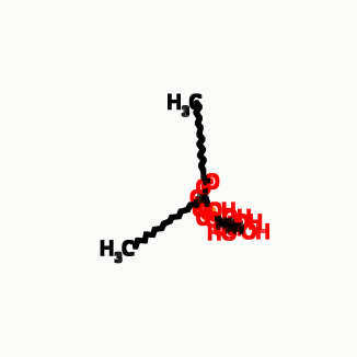 CCCCCCCCCCCCCCCC(=O)OC[C@H](COP(=O)(O)OC[C@@H](O)[C@@H](O)[C@H](O)[C@H](O)CO)OC(=O)CCCCCCCCCCCCCCC